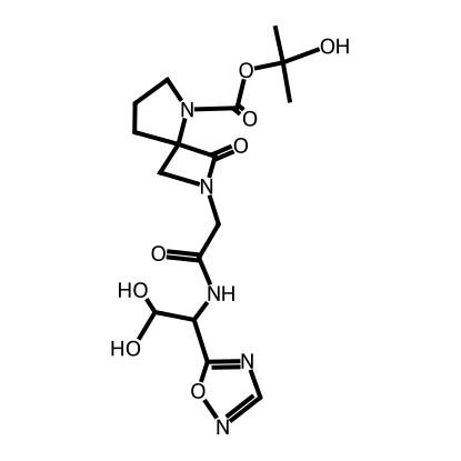 CC(C)(O)OC(=O)N1CCCC12CN(CC(=O)NC(c1ncno1)C(O)O)C2=O